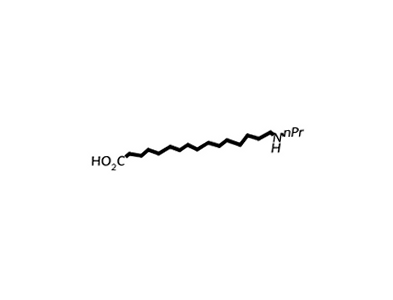 CCCNCCCCCCCCCCCCCCCC(=O)O